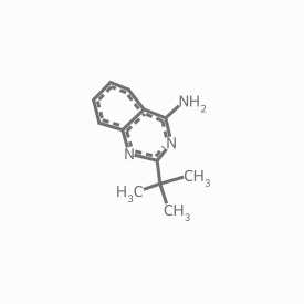 CC(C)(C)c1nc(N)c2ccccc2n1